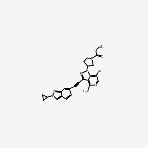 CC(C)(C)OC(=O)N1CCC(n2nc(C#Cc3ccc4cn(C5CC5)nc4c3)c3c(N)ncc(Br)c32)C1